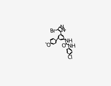 COc1ccc(-c2cc(NC(=O)Nc3ccc(Cl)cc3)cc(-c3c(Br)cnn3C)c2)cc1